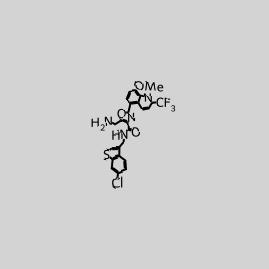 COc1ccc(-c2nc(C(=O)NCc3csc4cc(Cl)ccc34)c(CN)o2)c2ccc(C(F)(F)F)nc12